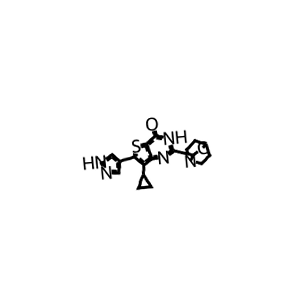 O=c1[nH]c(C2CC3CCN2CC3)nc2c(C3CC3)c(-c3cn[nH]c3)sc12